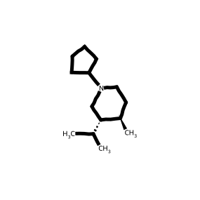 CC(C)[C@@H]1CN(C2CCCC2)CC[C@H]1C